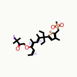 C\C=C/C(OCC(=O)C(C)(C)I)=C(C)\C=C(/C)C(CC)(CC)c1cc(C)c(CS(C)(=O)=O)s1